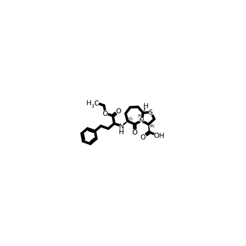 CCOC(=O)C(CCc1ccccc1)N[C@H]1CCC[C@H]2SC[C@@H](C(=O)O)N2C1=O